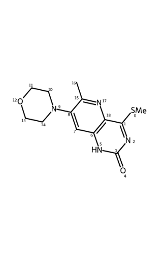 CSc1nc(=O)[nH]c2cc(N3CCOCC3)c(C)nc12